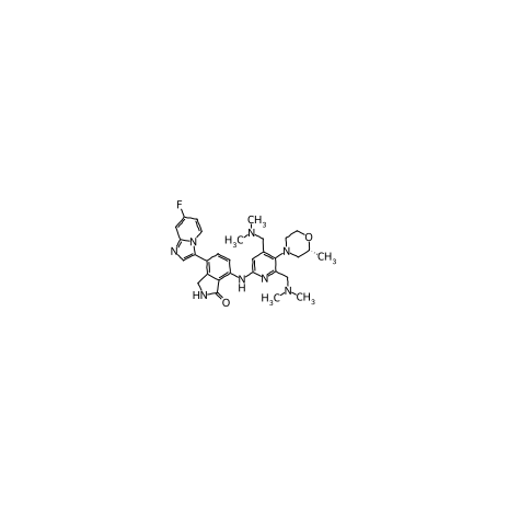 C[C@@H]1CN(c2c(CN(C)C)cc(Nc3ccc(-c4cnc5cc(F)ccn45)c4c3C(=O)NC4)nc2CN(C)C)CCO1